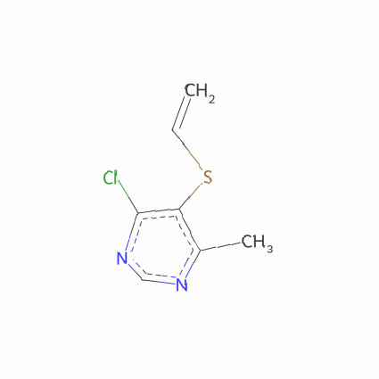 C=CSc1c(C)ncnc1Cl